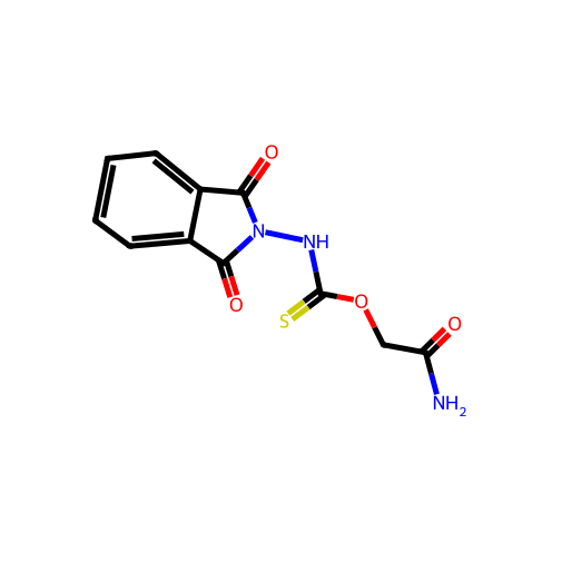 NC(=O)COC(=S)NN1C(=O)c2ccccc2C1=O